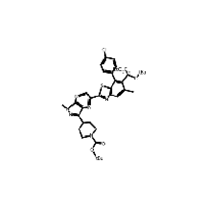 CCOC(=O)[C@@H](OC(C)(C)C)c1c(C)cc2nc(-c3cnc4c(n3)c(C3CCN(C(=O)OC(C)(C)C)CC3)nn4C)sc2c1-c1ccc(Cl)cc1